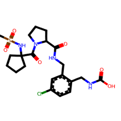 CS(=O)(=O)NC1(C(=O)N2CCCC2C(=O)NCc2cc(Cl)ccc2CNC(=O)O)CCCC1